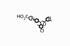 Cc1cc(C(=O)C[C@H](c2ccc(N3CCC(C(=O)O)CC3)cc2)c2ccc(Cl)cc2C)ccn1